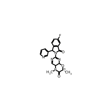 C[C@H]1OC2N=C(N3C(=O)c4cc(F)ccc4C3c3cccnc3)N=CC2N(C)C1=O